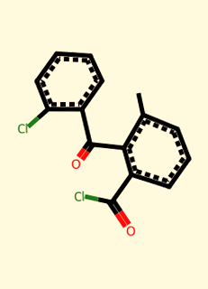 Cc1cccc(C(=O)Cl)c1C(=O)c1ccccc1Cl